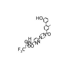 Cc1cc(C(=O)N2CCN(c3ccc(C(=O)NS(=O)(=O)CCC(F)(F)F)nn3)CC2)ccc1-c1cccc(O)c1